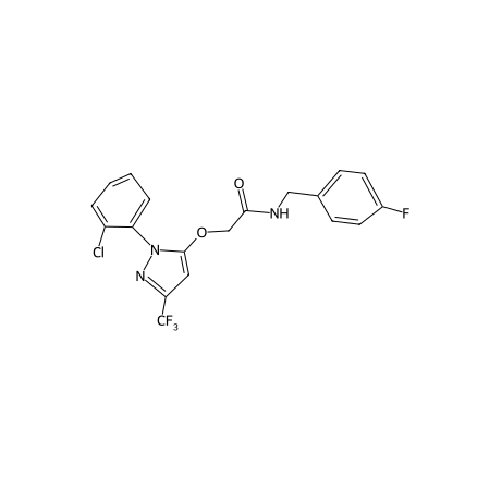 O=C(COc1cc(C(F)(F)F)nn1-c1ccccc1Cl)NCc1ccc(F)cc1